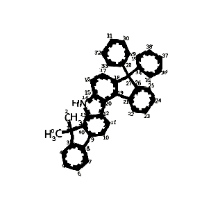 CC1(C)c2ccccc2-c2ccc3c([nH]c4ccc5c(c43)-c3ccccc3C5(c3ccccc3)c3ccccc3)c21